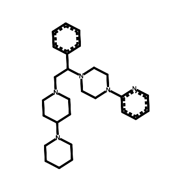 c1ccc(C(CN2CCC(N3CCCCC3)CC2)N2CCN(c3ccccn3)CC2)cc1